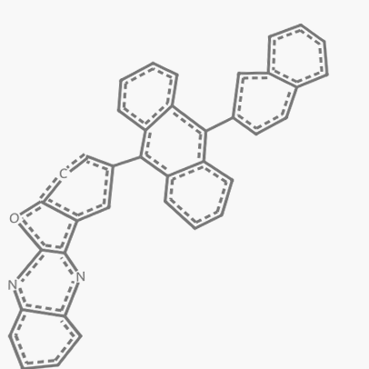 c1ccc2cc(-c3c4ccccc4c(-c4ccc5oc6nc7ccccc7nc6c5c4)c4ccccc34)ccc2c1